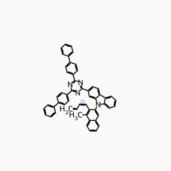 C=C/C=C\c1c(-n2c3ccccc3c3ccc(-c4nc(-c5ccc(-c6ccccc6)cc5)nc(-c5ccc(-c6ccccc6)cc5)n4)cc32)cc2ccccc2c1C